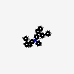 CC1(C)c2cc(N(c3ccccc3)c3ccc(-c4ccc5ccccc5c4-c4cccc(-c5ccccc5)c4)cc3)ccc2-c2c(-c3ccccc3)cccc21